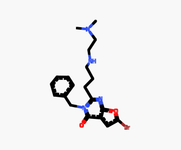 CN(C)CCNCCCc1nc2oc(Br)cc2c(=O)n1Cc1ccccc1